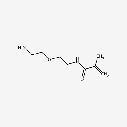 C=C(C)C(=O)NCCOCCN